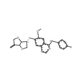 C=C1COC2C1OC[C@H]2Oc1cc2ncnc(Nc3ccc(F)cc3)c2cc1OC